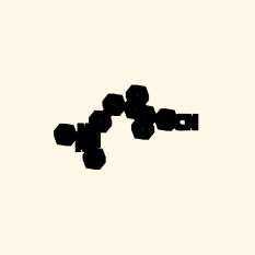 N#Cc1ccc(-c2cc3c4ccccc4c(-c4cccc(-c5ccc(-c6nc(-c7ccccc7)nc(-c7ccccc7)n6)cc5)c4)cc3c3ccccc23)cc1